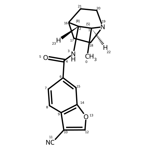 C[C@H]1[C@H](NC(=O)c2ccc3c(C#N)coc3c2)C2CCN1CC2